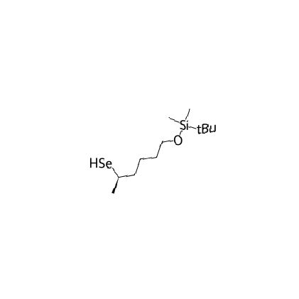 C[C@@H]([SeH])CCCCO[Si](C)(C)C(C)(C)C